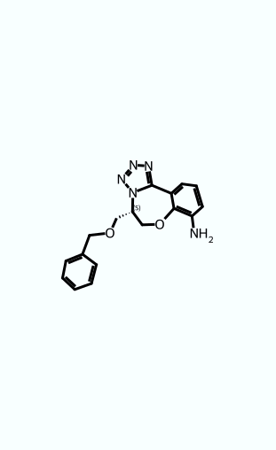 Nc1cccc2c1OC[C@H](COCc1ccccc1)n1nnnc1-2